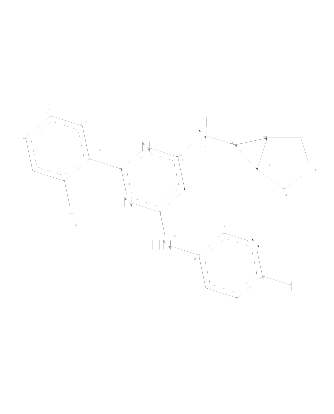 Fc1ccc(Nc2cc(NC3C4COCC43)nc(-c3ccccc3F)n2)cn1